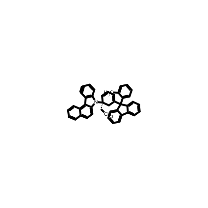 CC[C@]1(n2c3ccc#cc3c3c4ccccc4ccc32)C=CC=C(C2(c3ccccc3C)c3ccccc3-c3ccccc32)C1